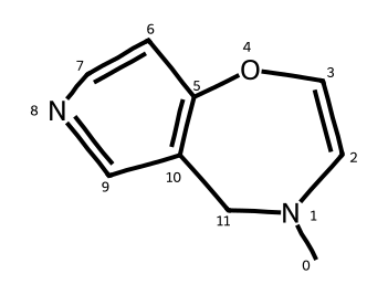 CN1C=COc2ccncc2C1